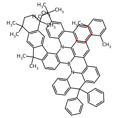 Cc1cccc(C)c1-c1cc2c3c(c1)N(c1ccc(C(C)(C)C)cc1-c1ccccc1)c1c(ccc4c1-c1cc5c(cc1C4(C)C)C(C)(C)CCC5(C)C)B3N1c3ccccc3C(c3ccccc3)(c3ccccc3)c3cccc-2c31